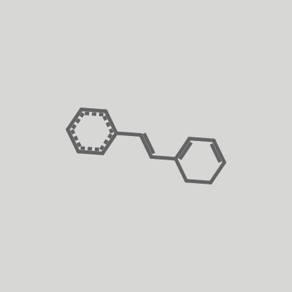 C1=CCCC(C=Cc2ccccc2)=C1